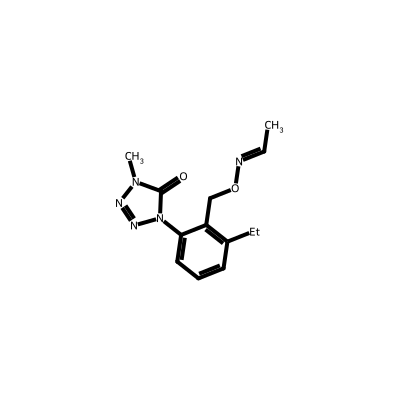 CC=NOCc1c(CC)cccc1-n1nnn(C)c1=O